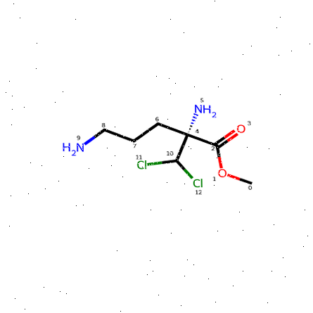 COC(=O)[C@](N)(CCCN)C(Cl)Cl